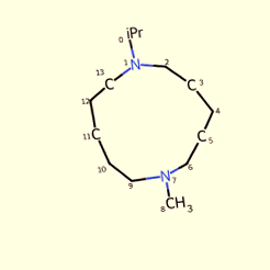 CC(C)N1CCCCCN(C)CCCCC1